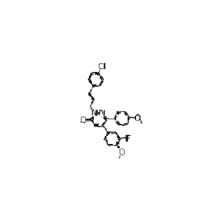 COc1ccc(-c2nn(CC=Cc3ccc(Cl)cc3)c(=O)cc2-c2ccc(OC)c(F)c2)cc1